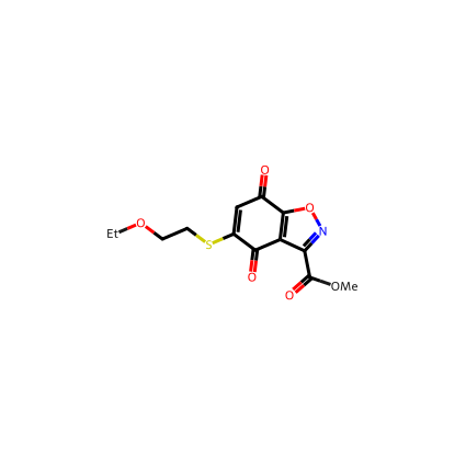 CCOCCSC1=CC(=O)c2onc(C(=O)OC)c2C1=O